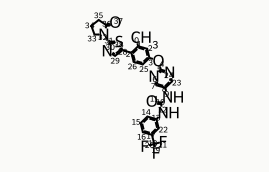 Cc1cc(Oc2ncc(NC(=O)Nc3cccc(C(F)(F)F)c3)cn2)ccc1-c1cnc(N2CCCC2=O)s1